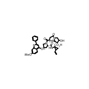 C=CC1CC1(NC(=O)[C@@H]1C[C@@H](Oc2cc(-c3ccccc3)nc3cc(OC)ccc23)CN1C(=O)[C@@H](CC(=O)N1CCC(O)C1)C(C)(C)C)C(=O)O